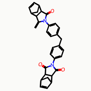 C=C1C2C3C=CC(C3)C2C(=O)N1c1ccc(Cc2ccc(N3C(=O)C4C5C=CC(C5)C4C3=O)cc2)cc1